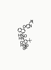 COc1c(NC(=O)Nc2ccc(Oc3ccnc(CN(C)C)c3)c3ccccc23)cc(C(C)(C)C)cc1NS(C)(=O)=O